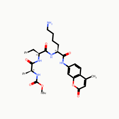 CCCCOC(=O)N[C@H](C(=O)N[C@@H](CC(C)C)C(=O)N[C@@H](CCCCN)C(=O)Nc1ccc2c(C)cc(=O)oc2c1)C(C)C